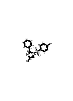 Cc1ccc(S(=O)(=O)n2cc(C)nc2-c2ccccc2)cc1